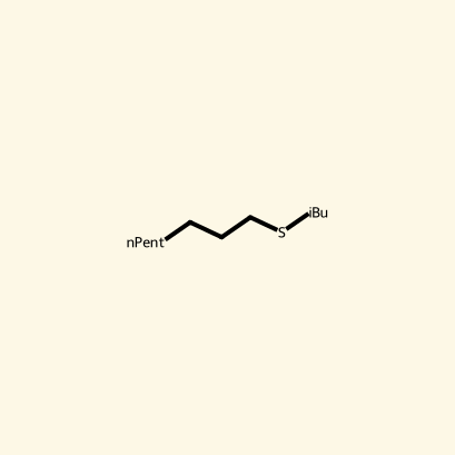 CCCCCCCCSC(C)CC